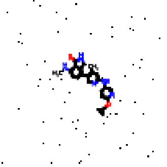 CNc1ccc(-c2cnc(Nc3ccc(OC4CC4)nc3)cc2C)c2c1C(=O)NC2